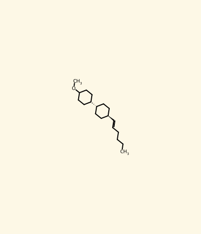 CCCC/C=C/[C@H]1CC[C@H](C2CCC(OC)CC2)CC1